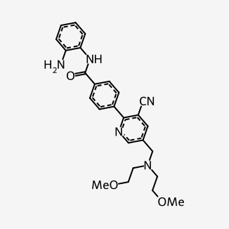 COCCN(CCOC)Cc1cnc(-c2ccc(C(=O)Nc3ccccc3N)cc2)c(C#N)c1